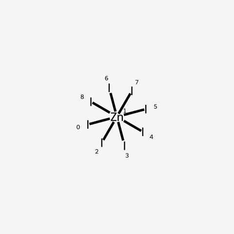 [I][Zn]([I])([I])([I])([I])([I])([I])[I]